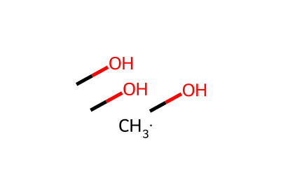 CO.CO.CO.[CH3]